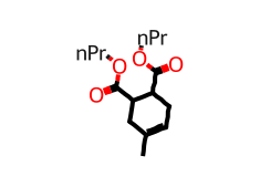 CCCOC(=O)C1CC=C(C)CC1C(=O)OCCC